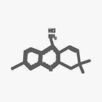 Cc1ccc2c(N)c3c(nc2c1)CC(C)(C)C=C3.Cl